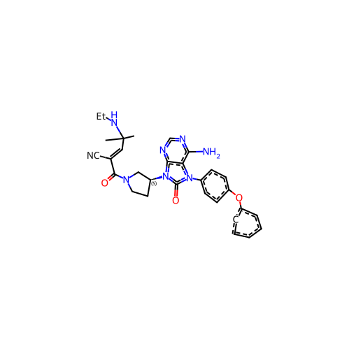 CCNC(C)(C)C=C(C#N)C(=O)N1CC[C@H](n2c(=O)n(-c3ccc(Oc4ccccc4)cc3)c3c(N)ncnc32)C1